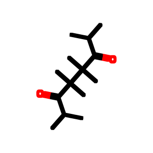 CC(C)C(=O)C(C)(C)C(C)(C)C(=O)C(C)C